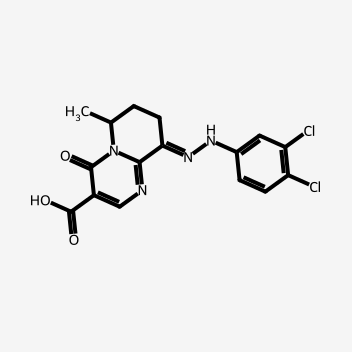 CC1CC/C(=N\Nc2ccc(Cl)c(Cl)c2)c2ncc(C(=O)O)c(=O)n21